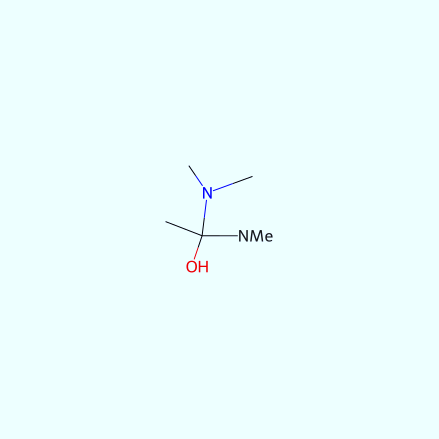 CNC(C)(O)N(C)C